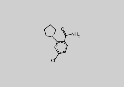 NC(=O)c1ccc(Cl)nc1N1CCCC1